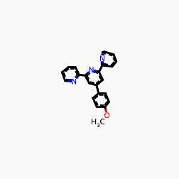 COc1ccc(-c2cc(-c3ccccn3)nc(-c3ccccn3)c2)cc1